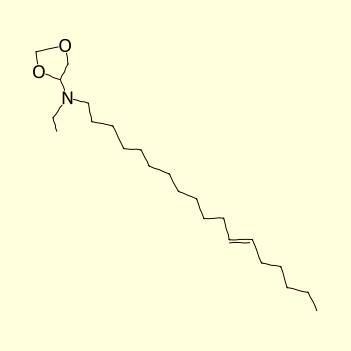 CCCCCC=CCCCCCCCCCCCN(CC)C1COCO1